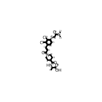 CC(NC(=O)C1CCN(C(=O)C=Cc2ccc(SCC(=O)N(C)C)c(Cl)c2Cl)CC1)C(=O)O